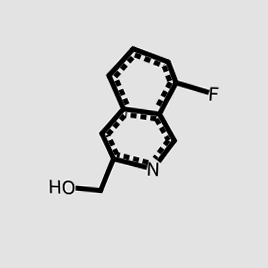 OCc1cc2cccc(F)c2cn1